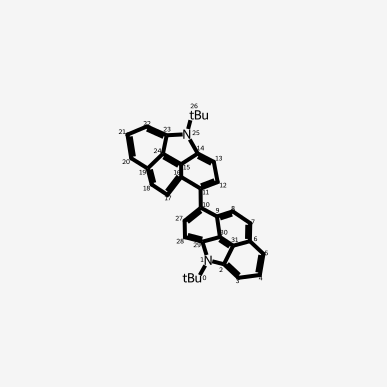 CC(C)(C)n1c2cccc3ccc4c(-c5ccc6c7c5ccc5cccc(c57)n6C(C)(C)C)ccc1c4c32